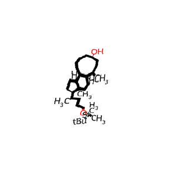 CC1CC[C@@H](O)CCCCC2[C@@H]1CCC1(C)[C@@H]([C@H](C)CCCO[Si](C)(C)C(C)(C)C)CC[C@@H]21